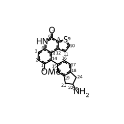 COc1ccc2[nH]c(=O)c3sccc3c2c1-c1ccc2c(c1)CC(N)C2